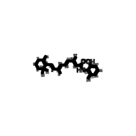 CC(C=CC1=C(C)CCCC1(C)C)=CC=CC(C)=CC(=O)Nc1c(C)cccc1O